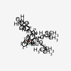 CC(C)(C)OC(=O)N1C2CCC1CC(c1nc3c(-c4ccc(C5(C)NC(=O)NC5=O)nc4)cnn3c(N(COCC[Si](C)(C)C)COCC[Si](C)(C)C)c1Br)C2